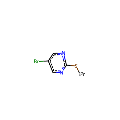 CC(C)Sc1ncc(Br)cn1